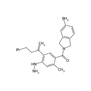 Bc1ccc2c(c1)CN(C(=O)c1cc(C(=C)CCC(C)C)c(NN)cc1C)C2